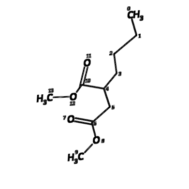 CCCCC(CC(=O)OC)C(=O)OC